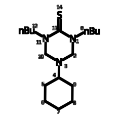 CCCCN1CN(C2CCCCC2)CN(CCCC)C1=S